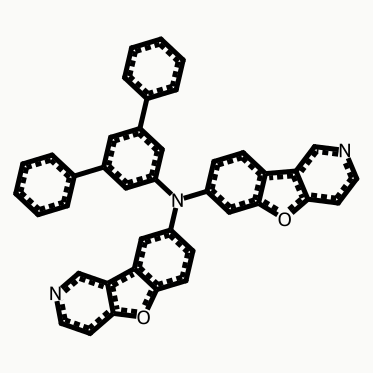 c1ccc(-c2cc(-c3ccccc3)cc(N(c3ccc4c(c3)oc3ccncc34)c3ccc4oc5ccncc5c4c3)c2)cc1